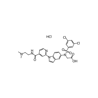 CN(C)CCNC(=O)c1ccnc(-n2ccc3cc(N(CC(=O)O)S(=O)(=O)c4cc(Cl)cc(Cl)c4)ccc32)c1.Cl